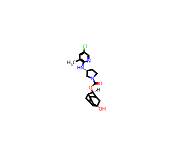 Cc1cc(Cl)cnc1N[C@@H]1CCN(C(=O)O[C@H]2C3CC4CC2C[C@](O)(C4)C3)C1